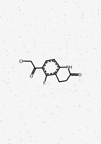 O=C1CCc2c(ccc(C(=O)CCl)c2F)N1